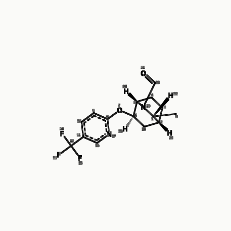 C[C@@H]1[C@@H]2CC[C@@H]([C@H](Oc3ccc(C(F)(F)F)cn3)C2)N1C=O